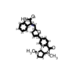 CN1CCC(N(C)C(=O)c2ccc(C3=CCC(/C=C4/C(=O)Nc5ccccc54)O3)cn2)C1